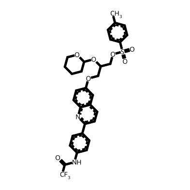 Cc1ccc(S(=O)(=O)OCC(COc2ccc3nc(-c4ccc(NC(=O)C(F)(F)F)cc4)ccc3c2)OC2CCCCO2)cc1